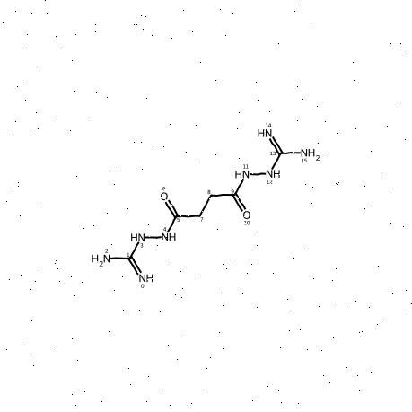 N=C(N)NNC(=O)CCC(=O)NNC(=N)N